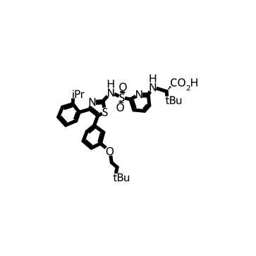 CC(C)c1ccccc1-c1nc(NS(=O)(=O)c2cccc(N[C@H](C(=O)O)C(C)(C)C)n2)sc1-c1cccc(OCCC(C)(C)C)c1